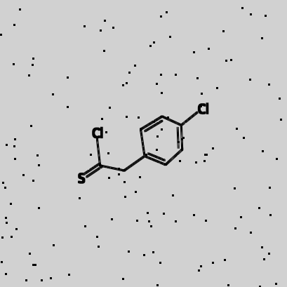 S=C(Cl)Cc1ccc(Cl)cc1